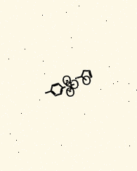 Cc1ccc(S(=O)(=O)OCC2CC=CO2)cc1